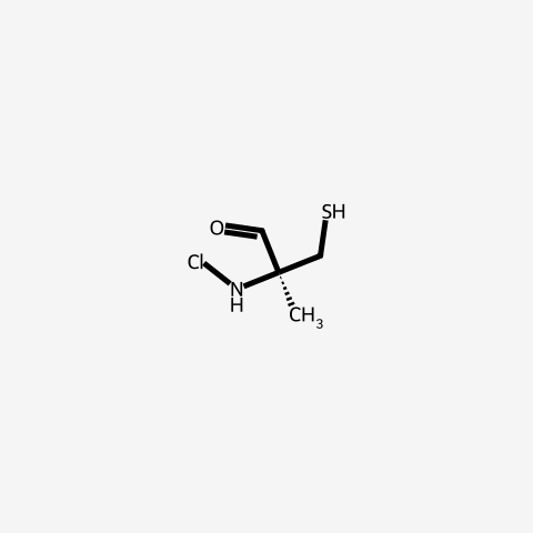 C[C@](C=O)(CS)NCl